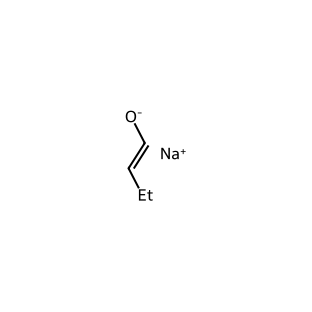 CCC=C[O-].[Na+]